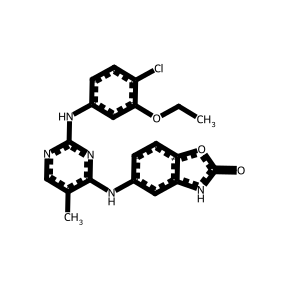 CCOc1cc(Nc2ncc(C)c(Nc3ccc4oc(=O)[nH]c4c3)n2)ccc1Cl